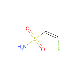 NS(=O)(=O)/C=C\F